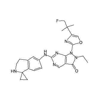 CCn1c(=O)c2cnc(Nc3ccc4c(c3)CCNC43CC3)nc2n1-c1nc(C(C)(C)CF)co1